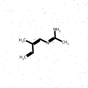 C=C/C(C)=C\N=C(\C)N